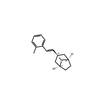 Cc1ccccc1/C=C/[C@H]1C[C@H]2CC[C@@H](C1)N2C